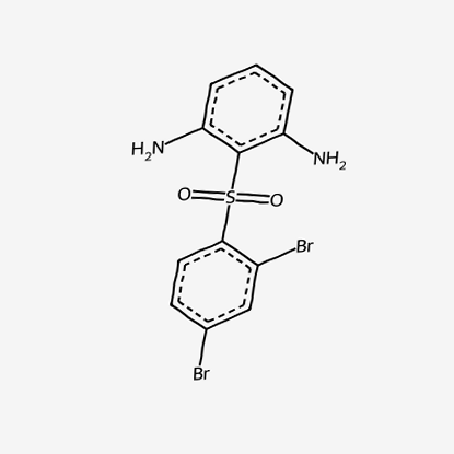 Nc1cccc(N)c1S(=O)(=O)c1ccc(Br)cc1Br